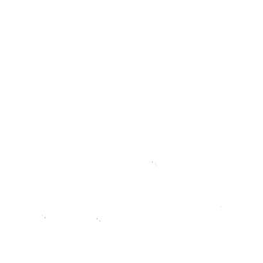 NC1CCN(CC2(O)CCN(Cc3cc(Br)ccc3OCc3ccc(Cl)cc3)CC2)C1